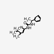 C=CC(=C)/C=C(\N=C)NC(=O)N[C@H](C)c1ccccc1